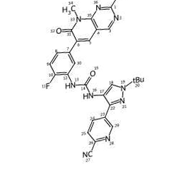 CNc1ncc2cc(-c3ccc(F)c(NC(=O)Nc4cn(C(C)(C)C)nc4-c4ccc(C#N)nc4)c3)c(=O)n(C)c2n1